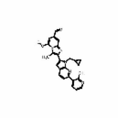 COc1cc(C=O)cc2nc(-c3cc4ccc(-c5cccnc5C)nc4n3CC3CC3)c(C)n12